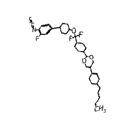 CCCCCC1CCC(C2COC(C3CCC(C(F)(F)OC4CCC(c5ccc(N=C=S)c(F)c5)CC4)CC3)OC2)CC1